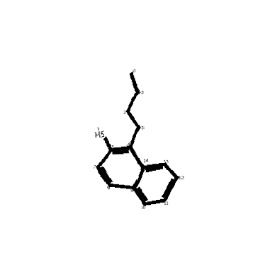 CCCCc1c(S)ccc2ccccc12